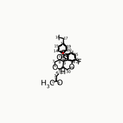 CC(=O)CC[C@@H]1OCC[C@@]2(S(=O)(=O)c3ccc(CI)cc3)c3c(F)ccc(F)c3OC[C@@H]12